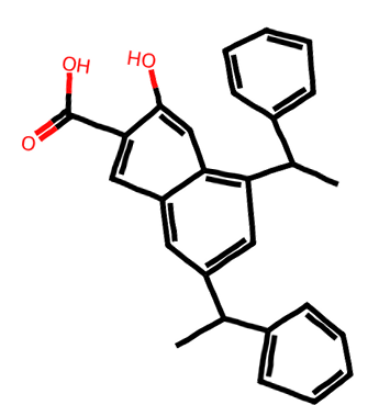 CC(c1ccccc1)c1cc(C(C)c2ccccc2)c2cc(O)c(C(=O)O)cc2c1